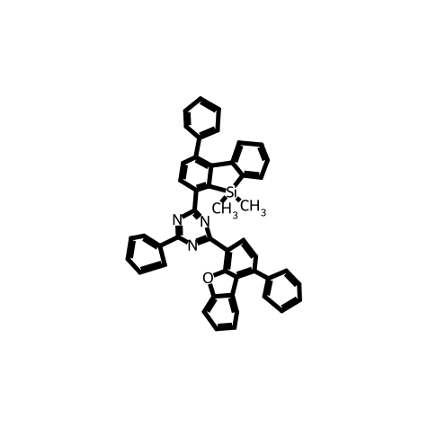 C[Si]1(C)c2ccccc2-c2c(-c3ccccc3)ccc(-c3nc(-c4ccccc4)nc(-c4ccc(-c5ccccc5)c5c4oc4ccccc45)n3)c21